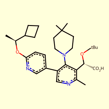 Cc1ncc(-c2ccc(O[C@@H](C)C3CCC3)nc2)c(N2CCC(C)(C)CC2)c1[C@H](OC(C)(C)C)C(=O)O